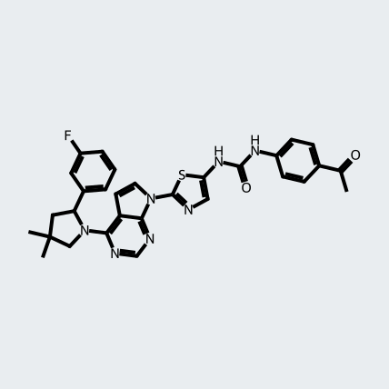 CC(=O)c1ccc(NC(=O)Nc2cnc(-n3ccc4c(N5CC(C)(C)CC5c5cccc(F)c5)ncnc43)s2)cc1